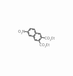 CCOC(=O)c1cc2ccc([N+](=O)[O-])cc2cc1C(=O)OCC